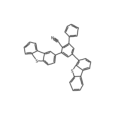 N#Cc1c(-c2ccccc2)cc(-c2cccc3c2sc2ccccc23)cc1-c1ccc2sc3ccccc3c2c1